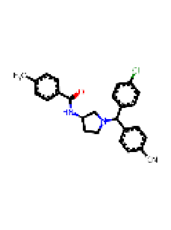 N#Cc1ccc(C(c2ccc(Cl)cc2)N2CC[C@@H](NC(=O)c3ccc(C(F)(F)F)cc3)C2)cc1